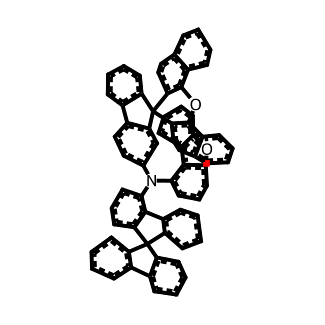 c1ccc2c(c1)-c1ccccc1C21c2ccccc2-c2c(N(c3ccc4c(c3)C3(c5ccccc5-4)c4ccc5ccccc5c4Oc4c3ccc3ccccc43)c3cccc4oc5ccccc5c34)cccc21